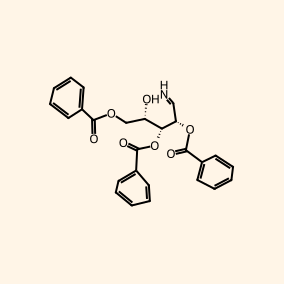 N=C[C@H](OC(=O)c1ccccc1)[C@H](OC(=O)c1ccccc1)[C@@H](O)COC(=O)c1ccccc1